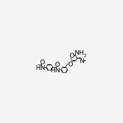 C=N/C=C(\C=C(/C)OCc1cccc(NC(=O)c2ccc(NC(C)=O)cc2)c1)C(N)=O